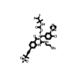 CC(C)(C)CCNC(=N)N(C(=O)c1ccc(C#CC(C)(C)S(C)(=O)=O)cc1)[C@H](COC(=O)NC(C)(C)C(F)F)c1ccc(Cl)c(-n2cncn2)c1